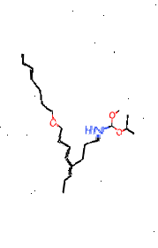 CCC=CCCCOCCC=C/C(=C\CC)CCCNC(OC)OC(C)C